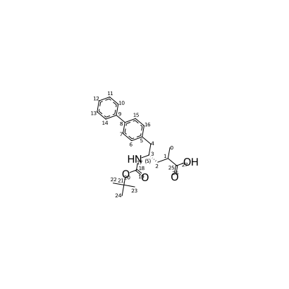 CC(C[C@@H](Cc1ccc(-c2ccccc2)cc1)NC(=O)OC(C)(C)C)C(=O)O